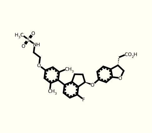 Cc1cc(OCCNS(C)(=O)=O)cc(C)c1-c1ccc(F)c2c1CC[C@H]2Oc1ccc2c(c1)OC[C@H]2CC(=O)O